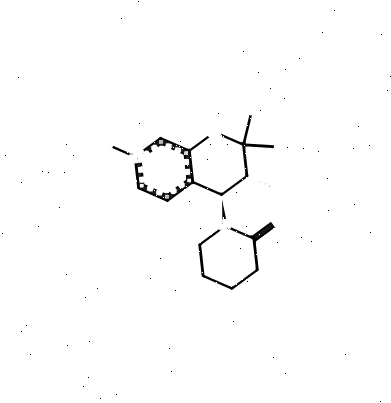 CC1(C)Oc2c[n+]([O-])ccc2[C@H](N2CCCCC2=O)[C@H]1O